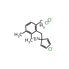 Cc1ccc(C)c(C[C]2([Ti+3])C=CC=C2)c1C.[Cl-].[Cl-].[Cl-]